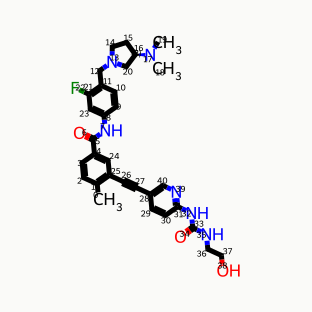 Cc1ccc(C(=O)Nc2ccc(CN3CC[C@@H](N(C)C)C3)c(F)c2)cc1C#Cc1ccc(NC(=O)NCCO)nc1